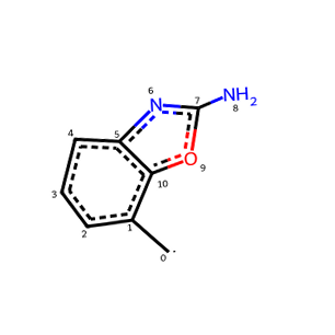 [CH2]c1cccc2nc(N)oc12